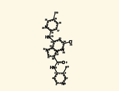 O=C(Nc1ccncc1F)c1cnc2c(Nc3ccc(I)cn3)cc(Cl)nn12